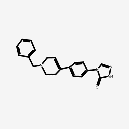 O=c1[nH]ncn1-c1ccc(C2=CCN(Cc3ccccc3)CC2)cc1